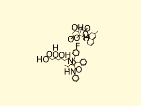 CC(C)c1c(C(=O)Nc2ccccc2)c(-c2ccccc2)c(-c2ccc(F)cc2)n1CC[C@@H](O)C[C@@H](O)CC(=O)O.CCC(C)(C)C(=O)O[C@H]1C[C@@H](C)C=C2C=C[C@H](C)[C@H](CC[C@@H]3C[C@@H](O)CC(=O)O3)[C@H]21